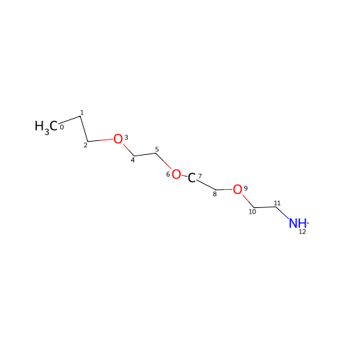 CCCOCCOCCOCC[NH]